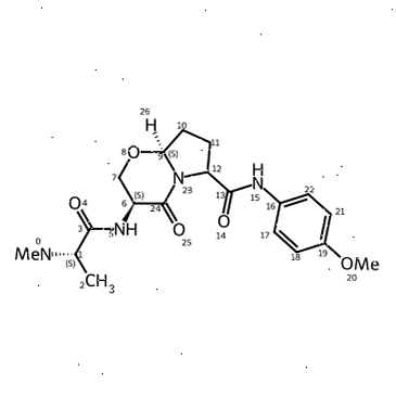 CN[C@@H](C)C(=O)N[C@H]1CO[C@H]2CCC(C(=O)Nc3ccc(OC)cc3)N2C1=O